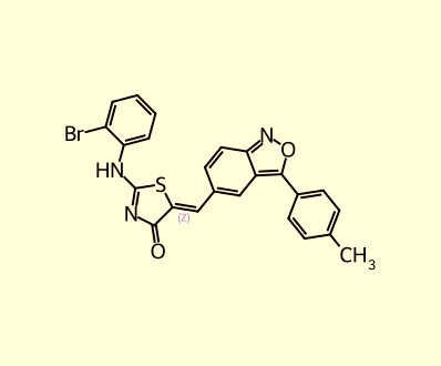 Cc1ccc(-c2onc3ccc(/C=C4\SC(Nc5ccccc5Br)=NC4=O)cc23)cc1